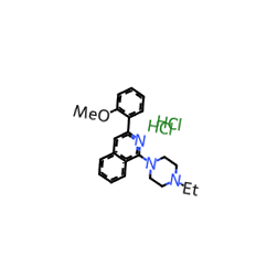 CCN1CCN(c2nc(-c3ccccc3OC)cc3ccccc23)CC1.Cl.Cl